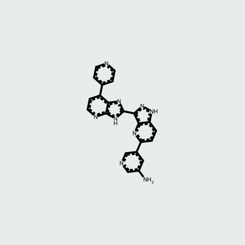 Nc1cncc(-c2ccc3[nH]nc(-c4nc5c(-c6ccncc6)ccnc5[nH]4)c3n2)c1